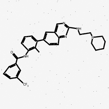 Cc1c(NC(=O)c2cccc(C(F)(F)F)c2)cccc1-c1ccc2nc(NCCN3CCCCC3)ncc2c1